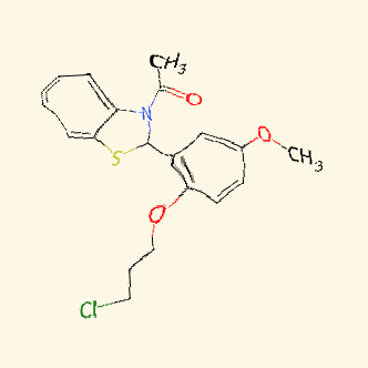 COc1ccc(OCCCCl)c(C2Sc3ccccc3N2C(C)=O)c1